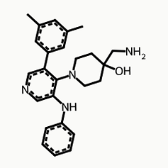 Cc1cc(C)cc(-c2cncc(Nc3ccccc3)c2N2CCC(O)(CN)CC2)c1